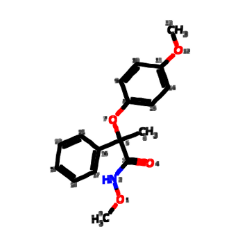 CONC(=O)C(C)(Oc1ccc(OC)cc1)c1ccccc1